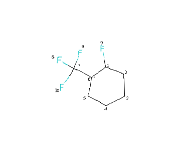 FC1CCCC[C]1C(F)(F)F